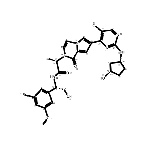 COc1cc(F)cc([C@@H](CO)NC(=O)[C@@H](C)n2ccn3cc(-c4nc(N[C@H]5CC[C@@H](O)C5)ncc4Cl)cc3c2=O)c1